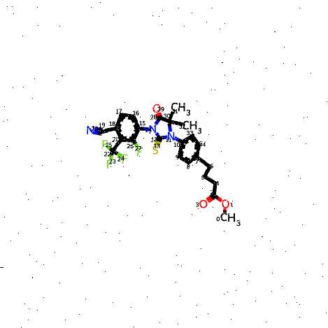 COC(=O)CCCc1ccc(N2C(=S)N(c3ccc(C#N)c(C(F)(F)F)c3F)C(=O)C2(C)C)cc1